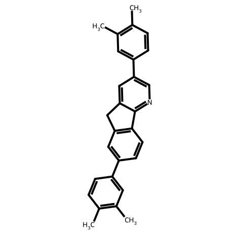 Cc1ccc(-c2ccc3c(c2)Cc2cc(-c4ccc(C)c(C)c4)cnc2-3)cc1C